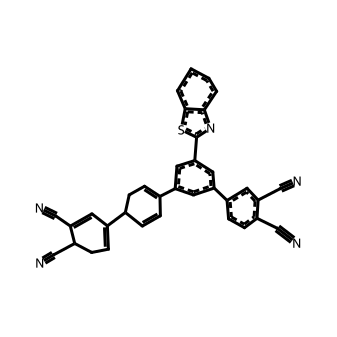 N#CC1=CC(C2C=CC(c3cc(-c4ccc(C#N)c(C#N)c4)cc(-c4nc5ccccc5s4)c3)=CC2)=CCC1C#N